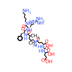 CC(CNC(=O)CCC(NC(=O)NC(CCC(=O)O)C(=O)O)C(=O)O)CC(C)C(=O)N[C@@H](Cc1ccccc1)C(=O)N[C@@H](CCCNC(=N)N)C(=O)NCCCCCN